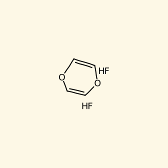 C1=COC=CO1.F.F